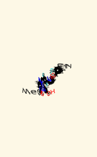 COC(=O)c1ccc2nc(Cc3cc(F)c(-c4cccc(OCc5ccc(C#N)cc5F)n4)cc3F)n(C[C@H]3C[C@@H](O)CN3)c2c1